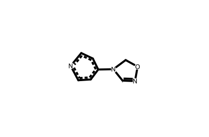 [C]1=NOCN1c1ccncc1